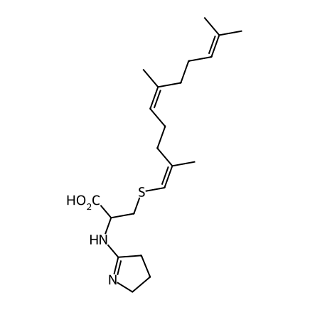 CC(C)=CCCC(C)=CCCC(C)=CSCC(NC1=NCCC1)C(=O)O